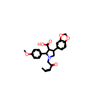 C/C=C\C(=O)CN1CC(c2ccc3c(c2)OCO3)C(C(=O)O)C1c1ccc(OC)cc1